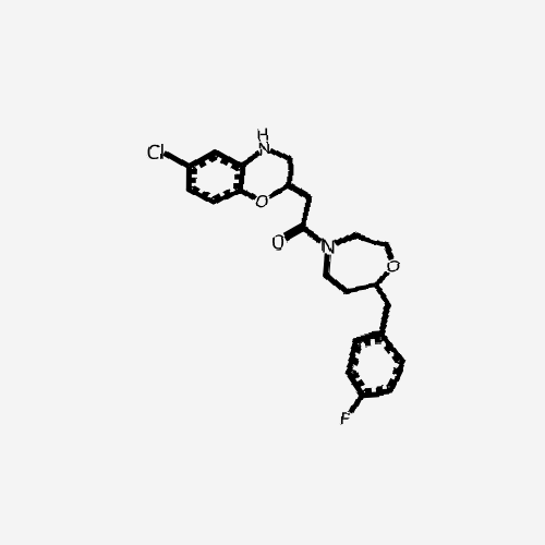 O=C(CC1CNc2cc(Cl)ccc2O1)N1CCOC(Cc2ccc(F)cc2)CC1